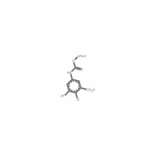 CCCCCOC(=S)Nc1cc(C(=O)O)c(Cl)c(C(C)C)c1